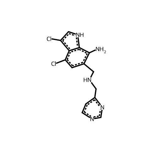 Nc1c(CNCc2ccncn2)cc(Cl)c2c(Cl)c[nH]c12